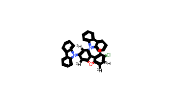 [2H]c1c(Cl)c([2H])c2c(oc3c([2H])c(-n4c5ccccc5c5ccccc54)c([2H])c(-n4c5ccccc5c5ccccc54)c32)c1[2H]